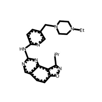 CCN1CCN(Cc2ccc(Nc3ncc4ccc5onc(C(C)C)c5c4n3)nc2)CC1